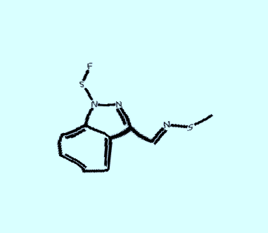 CS/N=C/c1nn(SF)c2ccccc12